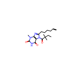 C=CCCCCc1nc2c(c(=O)[nH]c(=O)n2C)n1C(=O)C(C)(C)CC